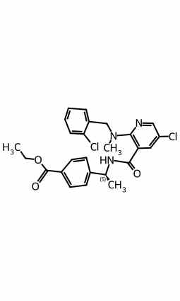 CCOC(=O)c1ccc([C@H](C)NC(=O)c2cc(Cl)cnc2N(C)Cc2ccccc2Cl)cc1